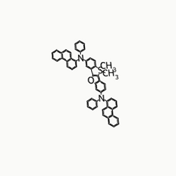 CS1(C)c2ccc(N(c3ccccc3)c3cccc4c3ccc3ccccc34)cc2-c2oc3cc(N(c4ccccc4)c4cccc5c4ccc4ccccc45)ccc3c21